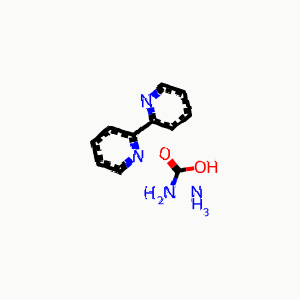 N.NC(=O)O.c1ccc(-c2ccccn2)nc1